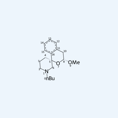 CCCCN1CCC[C@@]2(C1)O[C@@H](OC)Cc1ccccc12